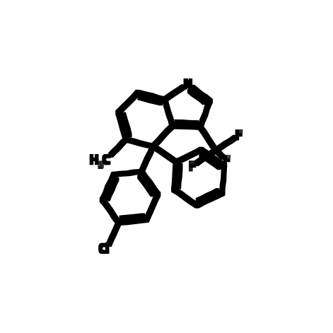 CC1=CC=C2N=CC(C(F)(F)F)=C2C1(c1ccccc1)c1ccc(Cl)cc1